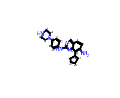 Nc1ccc2cnc(Nc3ccc(N4CCNCC4)cc3)nc2c1C1CCCC1